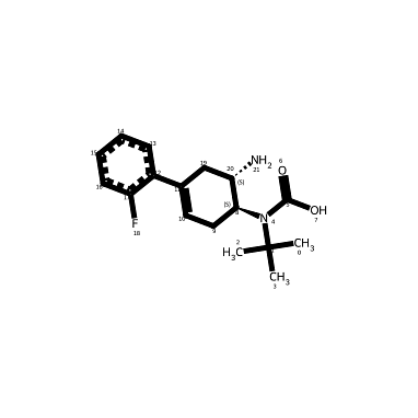 CC(C)(C)N(C(=O)O)[C@H]1CC=C(c2ccccc2F)C[C@@H]1N